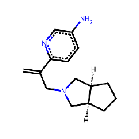 C=C(CN1C[C@H]2CCC[C@H]2C1)c1ccc(N)cn1